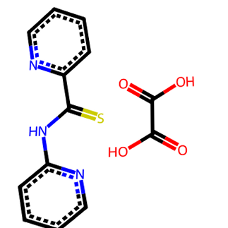 O=C(O)C(=O)O.S=C(Nc1ccccn1)c1ccccn1